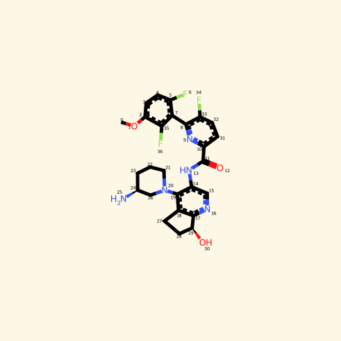 COc1ccc(F)c(-c2nc(C(=O)Nc3cnc4c(c3N3CCC[C@H](N)C3)CC[C@@H]4O)ccc2F)c1F